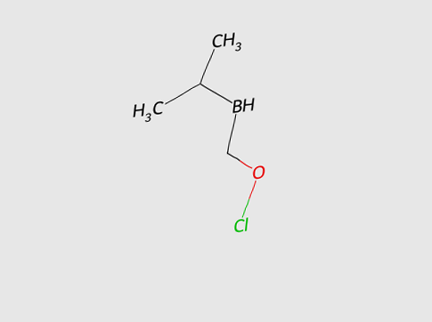 CC(C)BCOCl